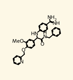 COc1cc(C(Nc2ccc(C(=N)N)cc2)C(=O)NCc2ccccc2)ccc1OCc1ccccn1